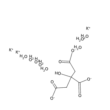 O.O.O.O.O.O.O.O.O=C([O-])CC(O)(CC(=O)[O-])C(=O)[O-].[K+].[K+].[K+]